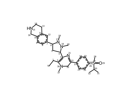 CCC1=C(C2CC(c3ccc4c(c3)CCNC4)N(C)N2C)N=C(c2ccc([SH](C)(=O)C(C)C)cc2)CN1C